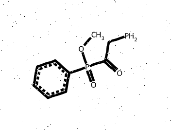 COP(=O)(C(=O)CP)c1ccccc1